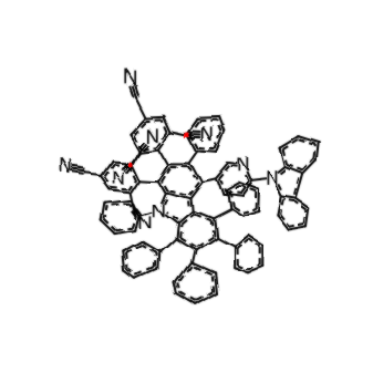 N#Cc1cc(C#N)c(-c2c(-c3ccccc3)c(-c3ccc(-n4c5ccccc5c5ccccc54)nc3)c3c4c(-c5ccccc5)c(-c5ccccc5)c(-c5ccccc5)c(-c5ccccc5)c4n(-c4ccccc4)c3c2-c2c(C#N)cc(C#N)cc2C#N)c(C#N)c1